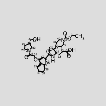 CCOC(=O)N1CCN(C(=O)[C@H](CCC(=O)O)NC(=O)c2cc(OCC(=O)N3CC[C@@H](CO)C3)c3ccccc3n2)CC1